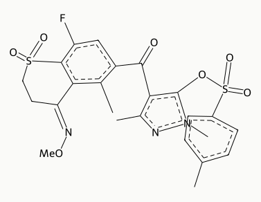 CON=C1CCS(=O)(=O)c2c(F)cc(C(=O)c3c(C)nn(C)c3OS(=O)(=O)c3ccc(C)cc3)c(C)c21